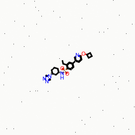 CCc1cc(-c2ccc(OC3CCC3)nc2)ccc1S(=O)(=O)N[C@H]1CCC[C@@H](n2cnnc2)C1